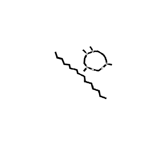 CCCCCCCCCCCCCCC.CN1CCCN(C)CCN(C)N(C)CCC1